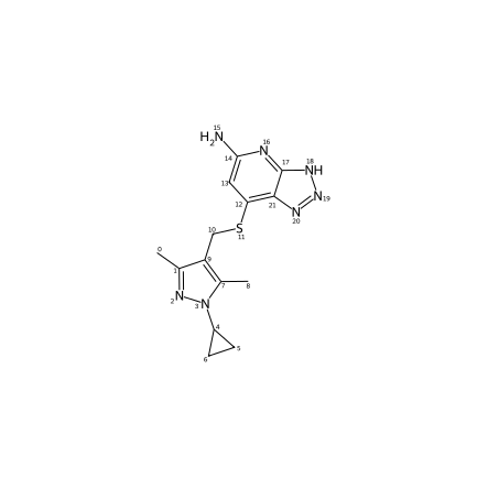 Cc1nn(C2CC2)c(C)c1CSc1cc(N)nc2[nH]nnc12